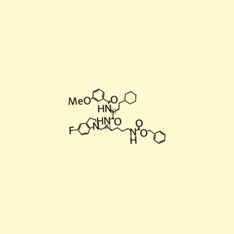 COc1cccc(C(=O)N[C@@H](CCC2CCCCC2)C(=O)N[C@@H](CCCCNC(=O)OCc2ccccc2)CN2CCc3cc(F)ccc32)c1